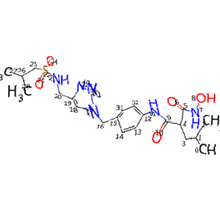 CC(C)CC(C(=O)NO)C(=O)Nc1ccc(Cn2cc(CNS(=O)(=O)CC(C)C)nn2)cc1